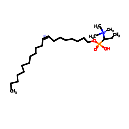 CCCCCCCCCCC/C=C\CCCCCCCOP(=O)(O)C(CC)[N+](C)(C)C